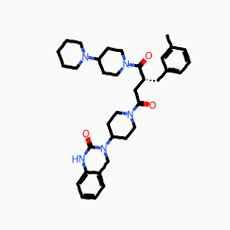 Cc1cccc(C[C@H](CC(=O)N2CCC(N3Cc4ccccc4NC3=O)CC2)C(=O)N2CCC(N3CCCCC3)CC2)c1